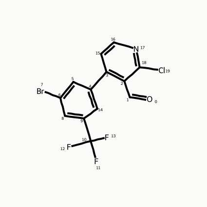 O=Cc1c(-c2cc(Br)cc(C(F)(F)F)c2)ccnc1Cl